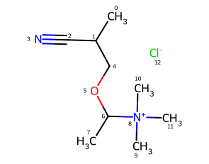 CC(C#N)COC(C)[N+](C)(C)C.[Cl-]